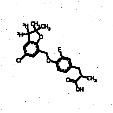 [2H]C1([2H])c2cc(Cl)cc(COc3ccc(CC(C)C(=O)O)cc3F)c2OC1(C)C